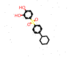 O=S(=O)(c1ccc(C2CCCCC2)cc1)c1ccc(O)c(O)c1